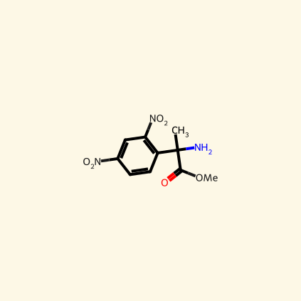 COC(=O)C(C)(N)c1ccc([N+](=O)[O-])cc1[N+](=O)[O-]